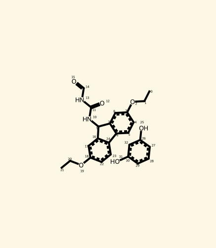 CCOc1ccc2c(c1)C(NC(=O)NC=O)c1cc(OCC)ccc1-2.Oc1cccc(O)c1